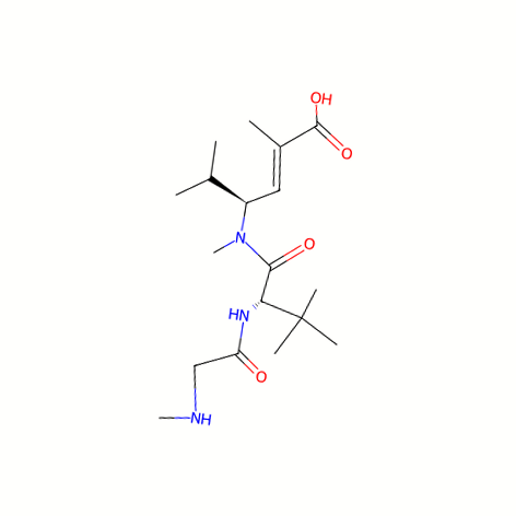 CNCC(=O)N[C@H](C(=O)N(C)[C@H](/C=C(\C)C(=O)O)C(C)C)C(C)(C)C